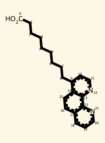 O=C(O)CCCCCCCCc1ccnc2c1ccc1cccnc12